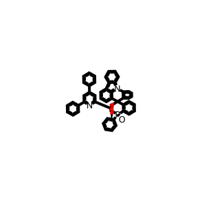 O=P1(c2ccccc2)c2ccccc2C2(c3ccccc3-n3c4ccccc4c4cccc2c43)c2cc(-c3cc(-c4ccccc4)cc(-c4ccccc4)n3)ccc21